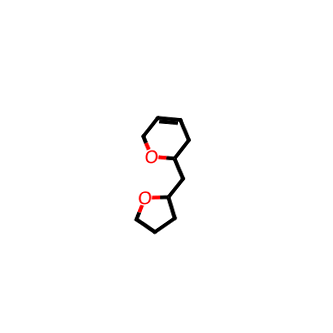 C1=CCC(CC2CCCO2)OC1